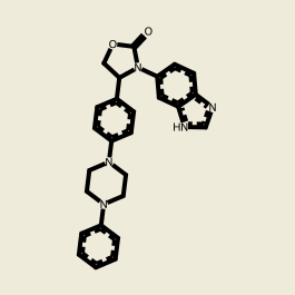 O=C1OCC(c2ccc(N3CCN(c4ccccc4)CC3)cc2)N1c1ccc2nc[nH]c2c1